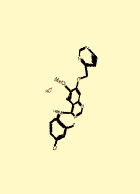 COc1cc2c(Nc3ccc(Cl)cc3F)ncnc2cc1OCc1ccncn1.Cl